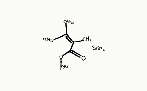 CCCCOC(=O)C(C)=C(CCCC)CCCC.[SnH4]